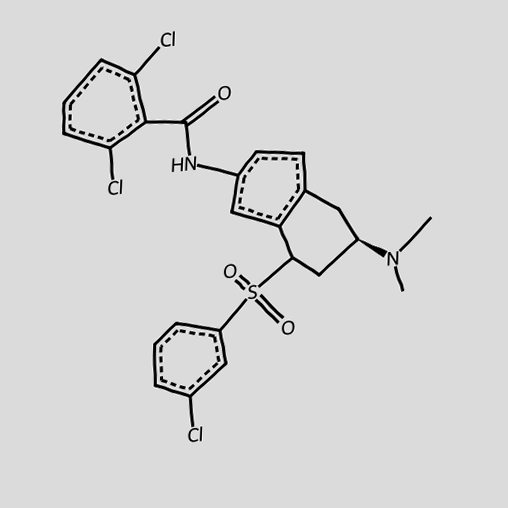 CN(C)[C@@H]1Cc2ccc(NC(=O)c3c(Cl)cccc3Cl)cc2C(S(=O)(=O)c2cccc(Cl)c2)C1